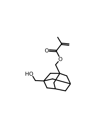 C=C(C)C(=O)OCC12CC3CC(CC(CO)(C3)C1)C2